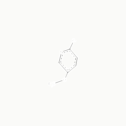 [O]c1ccc(OC(F)(F)F)cn1